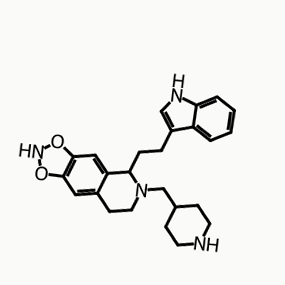 c1ccc2c(CCC3c4cc5c(cc4CCN3CC3CCNCC3)ONO5)c[nH]c2c1